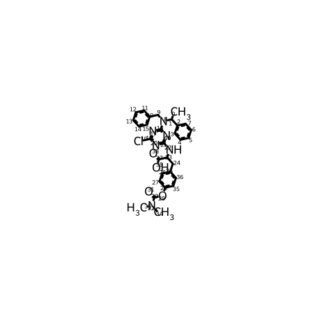 CC(c1ccccc1)N(Cc1ccccc1)c1nc(Cl)nc(NC(Cc2ccc(OC(=O)N(C)C)cc2)C(=O)O)n1